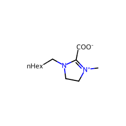 CCCCCCCN1CC[N+](C)=C1C(=O)[O-]